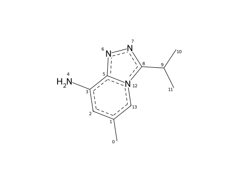 Cc1cc(N)c2nnc(C(C)C)n2c1